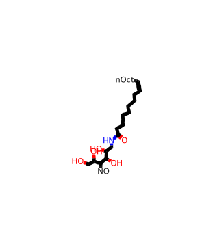 CCCCCCCC/C=C\CCCCCCCC(=O)NCC(O)C(O)C(N=O)C(O)CO